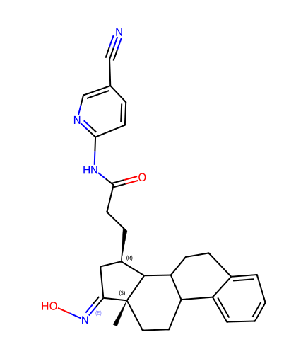 C[C@]12CCC3c4ccccc4CCC3C1[C@H](CCC(=O)Nc1ccc(C#N)cn1)C/C2=N\O